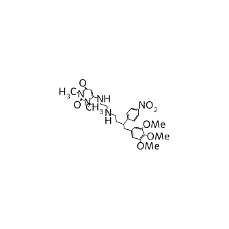 COc1cc(CC(CCNCCNc2cc(=O)n(C)c(=O)n2C)c2ccc([N+](=O)[O-])cc2)cc(OC)c1OC